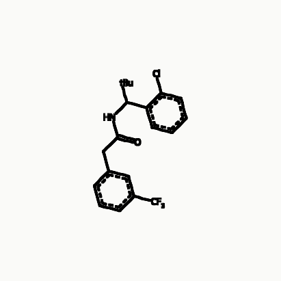 CC(C)(C)C(NC(=O)Cc1cccc(C(F)(F)F)c1)c1ccccc1Cl